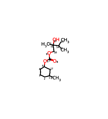 CC1CCCC(OC(=O)OCC(C)(O)C(C)C)C1